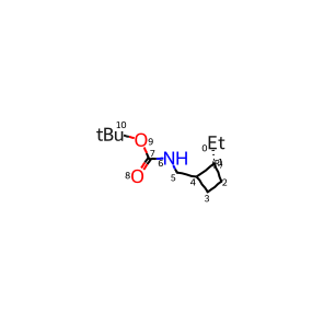 CC[C@@H]1CCC1CNC(=O)OC(C)(C)C